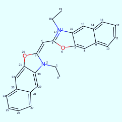 CCN1C(=Cc2oc3cc4ccccc4cc3[n+]2CC)Oc2cc3ccccc3cc21